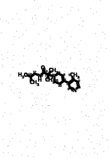 Cc1ccncc1C1=CCN(C(C)(C)C(=O)NCC(C)C)CC1